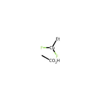 CC(=O)O.C[CH2][Cu]([F])[F]